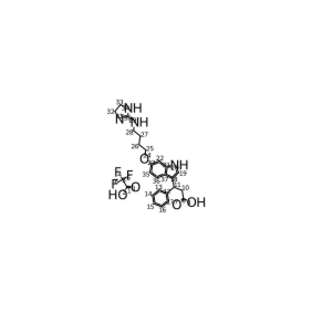 O=C(O)C(F)(F)F.O=C(O)CC(c1ccccc1)c1c[nH]c2cc(OCCCCNC3=NCCN3)ccc12